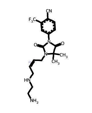 CC1(C)C(=O)N(c2ccc(C#N)c(C(F)(F)F)c2)C(=O)N1C/C=C\CNCCN